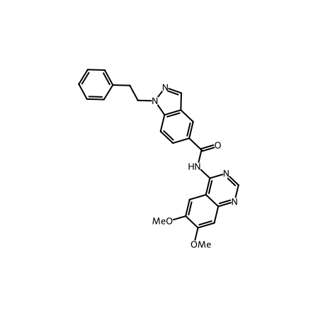 COc1cc2ncnc(NC(=O)c3ccc4c(cnn4CCc4ccccc4)c3)c2cc1OC